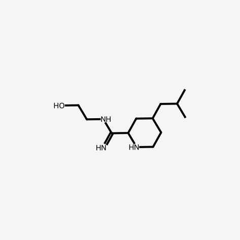 CC(C)CC1CCNC(C(=N)NCCO)C1